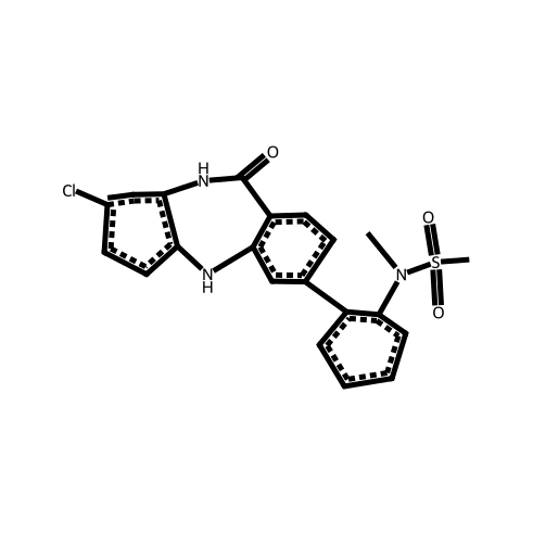 CN(c1ccccc1-c1ccc2c(c1)Nc1ccc(Cl)cc1NC2=O)S(C)(=O)=O